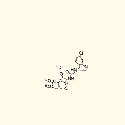 CC(=O)OCC1=C(C(=O)O)N2C(=O)[C@@H](NC(=O)CNc3ccnc4cc(Cl)ccc34)[C@H]2SC1.Cl